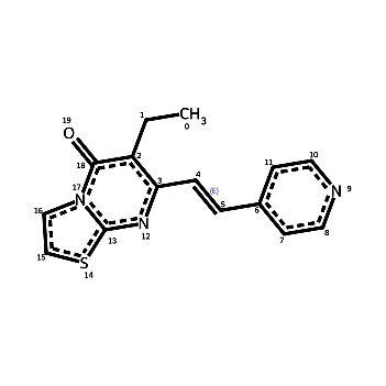 CCc1c(/C=C/c2ccncc2)nc2sccn2c1=O